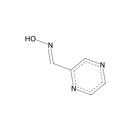 ON=Cc1cnccn1